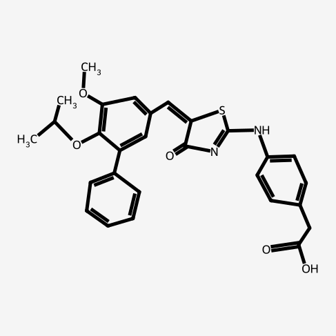 COc1cc(C=C2SC(Nc3ccc(CC(=O)O)cc3)=NC2=O)cc(-c2ccccc2)c1OC(C)C